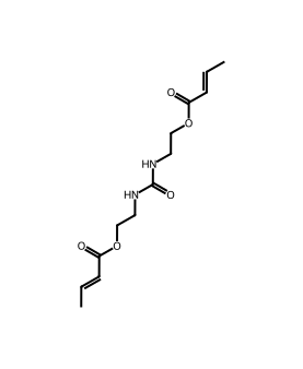 CC=CC(=O)OCCNC(=O)NCCOC(=O)C=CC